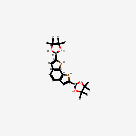 CC1(C)OB(c2cc3ccc4cc(B5OC(C)(C)C(C)(C)O5)sc4c3s2)OC1(C)C